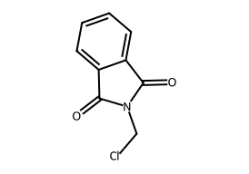 O=C1c2ccccc2C(=O)N1CCl